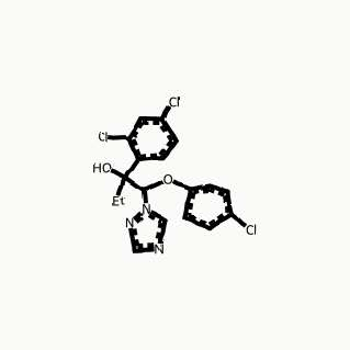 CCC(O)(c1ccc(Cl)cc1Cl)C(Oc1ccc(Cl)cc1)n1cncn1